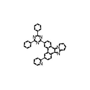 c1ccc(-c2nc(-c3ccccc3)nc(-c3ccc4c(c3)c3cc(-c5ccccn5)ccc3c3nc5ccccn5c43)n2)cc1